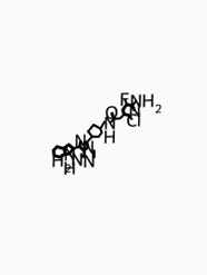 Nc1nc(Cl)c(CC(=O)NCC2CCC(c3nc(-c4cc5ccccc5[nH]4)c4c(N)nccn34)CC2)cc1F